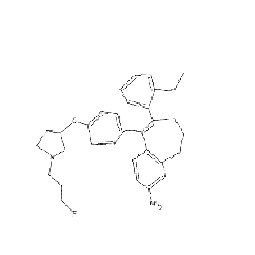 CCc1ccccc1C1=C(c2ccc(OC3CCN(CCCF)C3)cc2)c2ccc(N)cc2CCC1